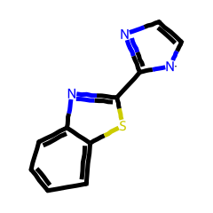 C1=CN=C(c2nc3ccccc3s2)[N]1